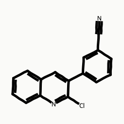 N#Cc1cccc(-c2cc3ccccc3nc2Cl)c1